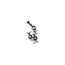 COc1cnc(C(F)F)cc1-c1cc(N(C)C(C)=O)ccc1C(=O)Nc1nc2ncc(C#CC3CC3)nc2s1